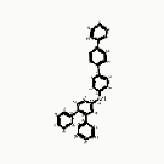 c1ccc(-c2ccc(-c3ccc(Nc4ccc(-c5ccccc5)c(-c5ccccc5)c4)cc3)cc2)cc1